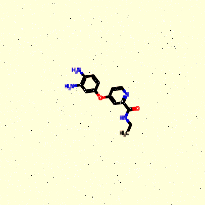 CCNC(=O)c1cc(Oc2ccc(N)c(N)c2)ccn1